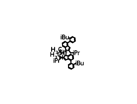 CCC(C)c1ccccc1-c1cccc2c1C=C(CC(C)C)[CH]2[Hf]([CH]1C(CC(C)C)=Cc2c(-c3ccccc3C(C)CC)cccc21)[SiH](C)C